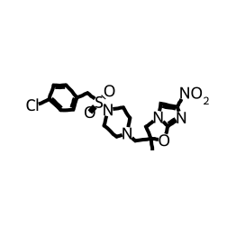 CC1(CN2CCN(S(=O)(=O)Cc3ccc(Cl)cc3)CC2)Cn2cc([N+](=O)[O-])nc2O1